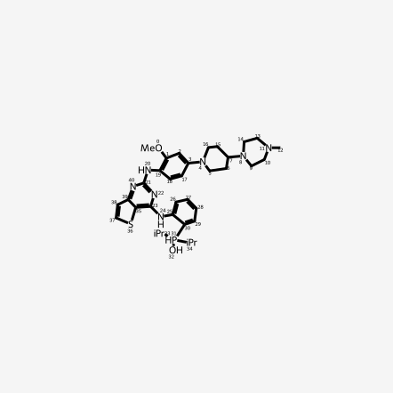 COc1cc(N2CCC(N3CCN(C)CC3)CC2)ccc1Nc1nc(Nc2ccccc2[PH](O)(C(C)C)C(C)C)c2sccc2n1